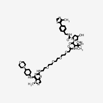 Cc1ncsc1-c1ccc(CNC(=O)[C@@H]2C[C@@H](O)CN2C(=O)C(NC(=O)COCCOCCOCCOCCNc2nc(NC3CCC(N4CCOCC4)CC3)c3c(cnn3C)n2)C(C)(C)C)cc1